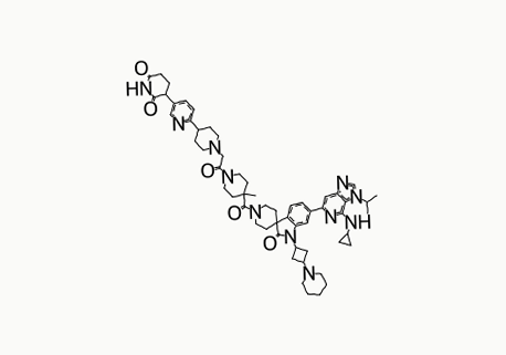 CC(C)n1cnc2cc(-c3ccc4c(c3)N(C3CC(N5CCCCC5)C3)C(=O)C43CCN(C(=O)C4(C)CCN(C(=O)CN5CCC(c6ccc(C7CCC(=O)NC7=O)cn6)CC5)CC4)CC3)nc(NC3CC3)c21